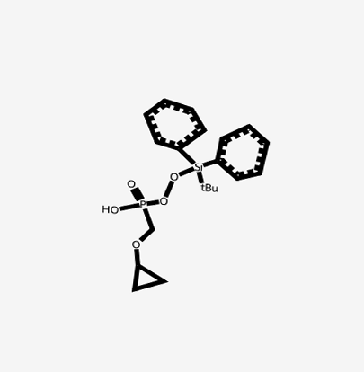 CC(C)(C)[Si](OOP(=O)(O)COC1CC1)(c1ccccc1)c1ccccc1